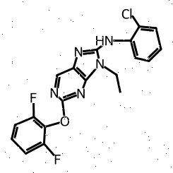 CCn1c(Nc2ccccc2Cl)nc2cnc(Oc3c(F)cccc3F)nc21